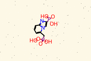 O=P(O)(Cc1cccc2nc(P(=O)(O)O)cn12)OO